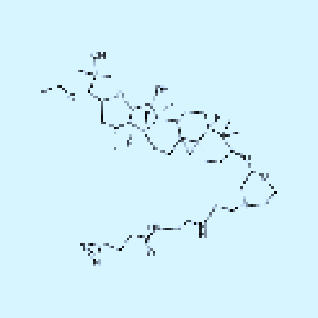 CCO[C@@H](C1C[C@@H](C)[C@H]2C(O1)[C@H](O)[C@@]1(C)C3CC[C@H]4C(C)(C)[C@@H](O[C@H]5CN(CCNCCNC(=O)CCC6(C)N=N6)CCO5)CC[C@@]45CC35CC[C@]21C)C(C)(C)O